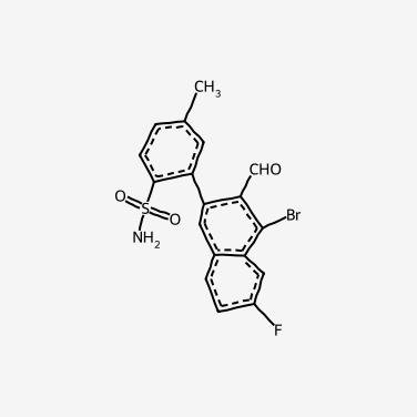 Cc1ccc(S(N)(=O)=O)c(-c2cc3ccc(F)cc3c(Br)c2C=O)c1